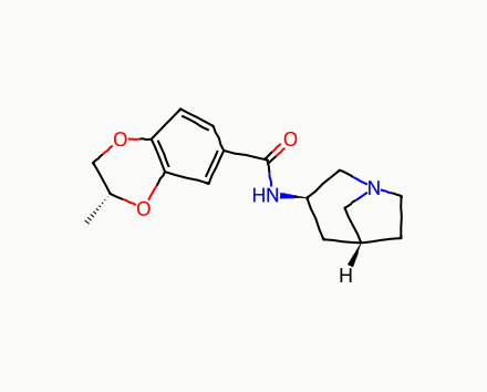 C[C@@H]1COc2ccc(C(=O)N[C@@H]3C[C@H]4CCN(C4)C3)cc2O1